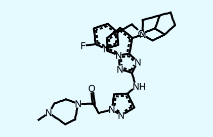 CN1CCN(C(=O)Cn2cc(Nc3nc4c(N5CC6CCC(C5)C6OCc5ccc(F)nc5)cccn4n3)cn2)CC1